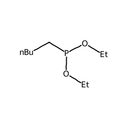 CCCCCP(OCC)OCC